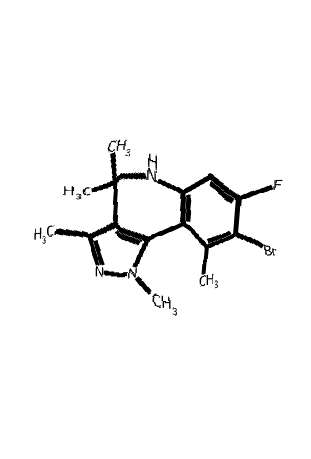 Cc1nn(C)c2c1C(C)(C)Nc1cc(F)c(Br)c(C)c1-2